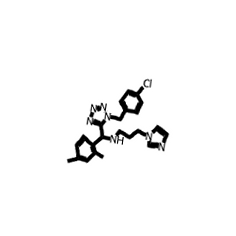 Cc1ccc(C(NCCCn2ccnc2)c2nnnn2Cc2ccc(Cl)cc2)c(C)c1